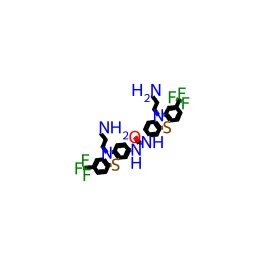 NCCCN1c2ccc(NC(=O)Nc3ccc4c(c3)Sc3ccc(C(F)(F)F)cc3N4CCCN)cc2Sc2ccc(C(F)(F)F)cc21